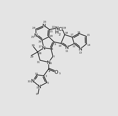 Cn1cc(C(=O)N2Cc3c(C4=Nc5ncccc5C4Cl)c4c(N)ncnc4n3C(C)(C)C2)cn1